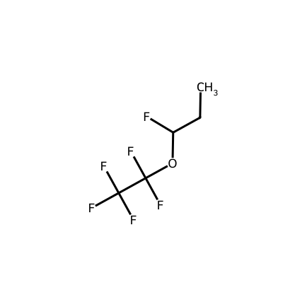 CCC(F)OC(F)(F)C(F)(F)F